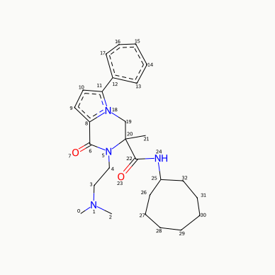 CN(C)CCN1C(=O)c2ccc(-c3ccccc3)n2CC1(C)C(=O)NC1CCCCCCC1